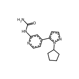 NC(=O)Nc1cc(-c2ccnn2C2CCCC2)ccn1